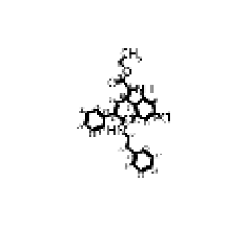 CCOC(=O)c1[nH]c2cc(Cl)cc(Cl)c2c1C=C(C(=O)NCCc1ccccc1)c1ccccc1